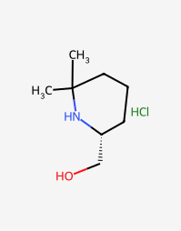 CC1(C)CCC[C@H](CO)N1.Cl